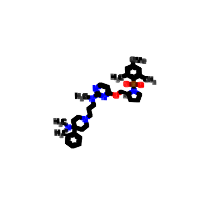 COc1cc(C)c(S(=O)(=O)N2CCC[C@H]2COc2ccnc(N(C)CCCN3CCC(c4ccccc4)(N(C)C)CC3)n2)c(C)c1